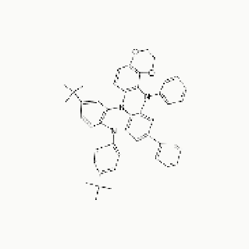 CC(C)(C)c1ccc(N2c3ccc(C(C)(C)C)cc3B3c4ccc5c(c4N(c4ccccc4)c4cc(-c6ccccc6)cc2c43)OCCO5)cc1